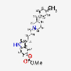 COC(=O)Oc1ccc2[nH]cc(CCCCN3CCCC(Cc4ccc(C)cc4)C3)c2c1